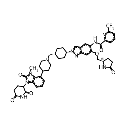 Cn1c(=O)n(C2CCC(=O)NC2=O)c2cccc(C3CCN(C[C@H]4CC[C@H](n5cc6cc(NC(=O)c7cccc(C(F)(F)F)n7)c(OC[C@H]7CCC(=O)N7)cc6n5)CC4)CC3)c21